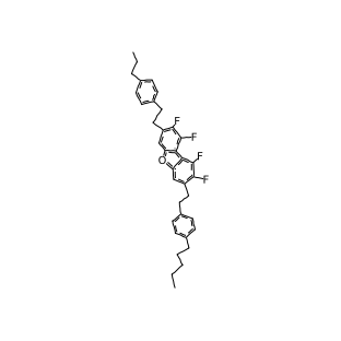 CCCCCc1ccc(CCc2cc3oc4cc(CCc5ccc(CCC)cc5)c(F)c(F)c4c3c(F)c2F)cc1